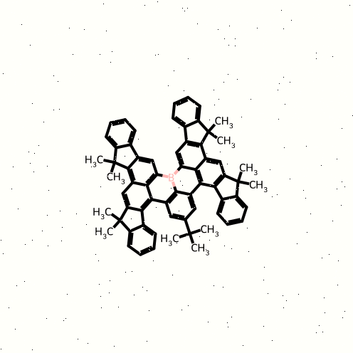 CC(C)(C)c1cc2c3c(c1)-c1c4c(cc5c6c(cc(c15)B3c1cc3c(c5cc7c(c-2c15)-c1ccccc1C7(C)C)C(C)(C)c1ccccc1-3)-c1ccccc1C6(C)C)C(C)(C)c1ccccc1-4